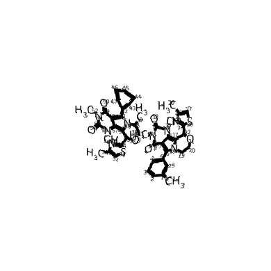 Cc1cccc(-c2c3c(=O)n(C)c(=O)n(C)c3c3n2CCOC3c2nc(C)cs2)c1.Cc1csc(C2OCC(C)n3c(-c4ccccc4)c4c(=O)n(C)c(=O)n(C)c4c32)n1